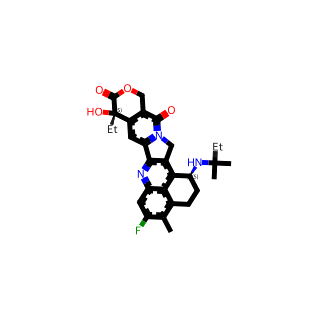 CCC(C)(C)N[C@H]1CCc2c(C)c(F)cc3nc4c(c1c23)Cn1c-4cc2c(c1=O)COC(=O)[C@]2(O)CC